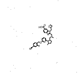 CC1CCC(CN(C)Cc2nc3ccc(C(=O)O)cc3n2CC2CCO2)N1c1cccc(OCc2ccc(C#N)cc2F)n1